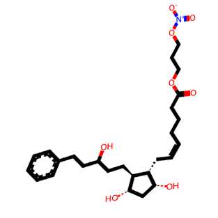 O=C(CCC/C=C\C[C@H]1[C@H](CCC(O)CCc2ccccc2)[C@@H](O)C[C@H]1O)OCCCO[N+](=O)[O-]